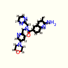 Cc1cc2cc(C(=O)N(Cc3ccc(N4CCOCC4)cn3)Cc3ncccn3)ccc2nc1N